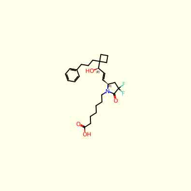 O=C(O)CCCCCCN1C(=O)C(F)(F)C[C@@H]1C=C[C@@H](O)C1(CCCc2ccccc2)CCC1